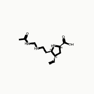 C=C[C@@H]1C[C@H](C(=O)O)N[C@@H]1CCNCNC(C)=O